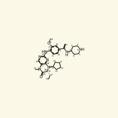 C=C(NC1CCNCC1)c1ccc(Nc2ncc3c(n2)N(C2CCCC2)[C@H](CC)C(=O)N3C)c(OC)c1